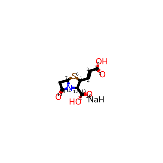 O=C(O)C=CC1SC2CC(=O)N2C1C(=O)O.[NaH]